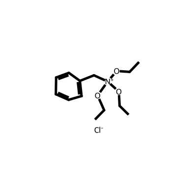 CCO[N+](Cc1ccccc1)(OCC)OCC.[Cl-]